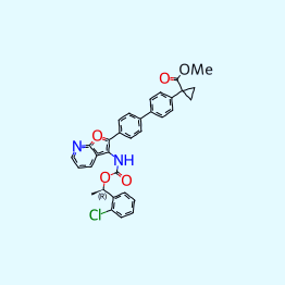 COC(=O)C1(c2ccc(-c3ccc(-c4oc5ncccc5c4NC(=O)O[C@H](C)c4ccccc4Cl)cc3)cc2)CC1